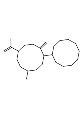 C=C(C)C1CCC(=C)C(C2CCCCCCCCC2)CCC(C)CC1